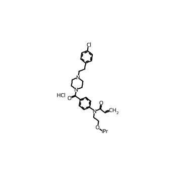 C=CC(=O)N(CCOC(C)C)c1ccc(C(=O)N2CCN(CCc3ccc(Cl)cc3)CC2)cc1.Cl